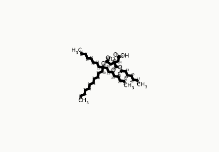 CCCCCCCCCCCC(CCCCCCCC)(CCCCCCCC)OC(=O)CC(O)(CC(=O)O)C(=O)OC(F)CCCCCC